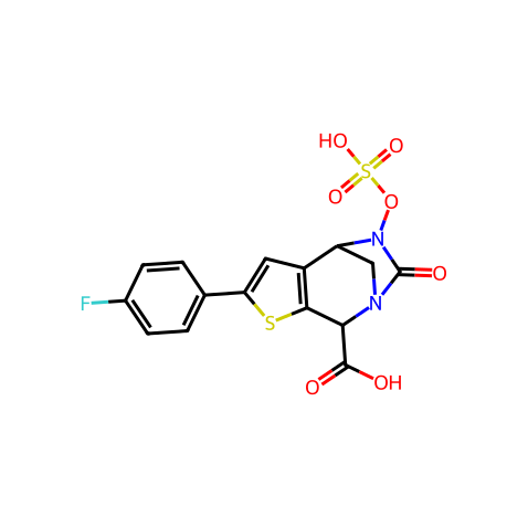 O=C(O)C1c2sc(-c3ccc(F)cc3)cc2C2CN1C(=O)N2OS(=O)(=O)O